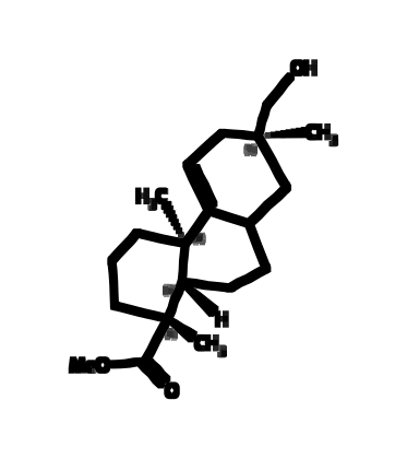 COC(=O)[C@]1(C)CCC[C@@]2(C)C3=CC[C@@](C)(CO)CC3CC[C@H]12